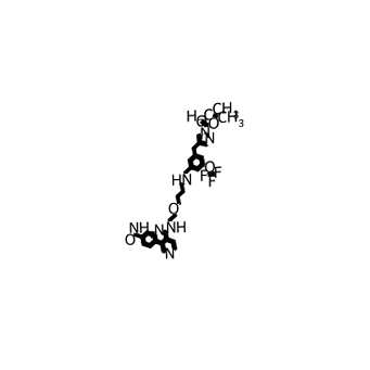 CC(C)(C)OC(=O)n1cc(Cc2cc(CNCCCCOCCNc3nc4cc(C(N)=O)ccc4c4cnccc34)cc(OC(F)(F)F)c2)cn1